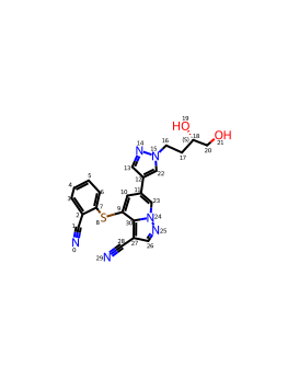 N#Cc1ccccc1Sc1cc(-c2cnn(CC[C@H](O)CO)c2)cn2ncc(C#N)c12